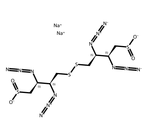 [N-]=[N+]=N[C@H](CSSC[C@@H](N=[N+]=[N-])[C@@H](CS(=O)[O-])N=[N+]=[N-])[C@@H](CS(=O)[O-])N=[N+]=[N-].[Na+].[Na+]